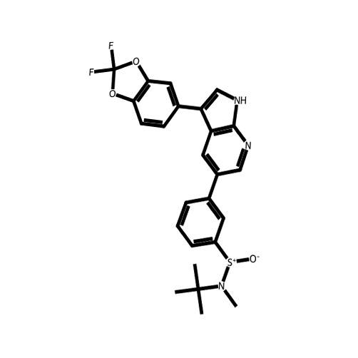 CN([S+]([O-])c1cccc(-c2cnc3[nH]cc(-c4ccc5c(c4)OC(F)(F)O5)c3c2)c1)C(C)(C)C